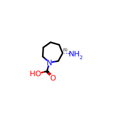 N[C@H]1CCCCN(C(=O)O)C1